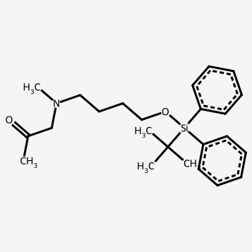 CC(=O)CN(C)CCCCO[Si](c1ccccc1)(c1ccccc1)C(C)(C)C